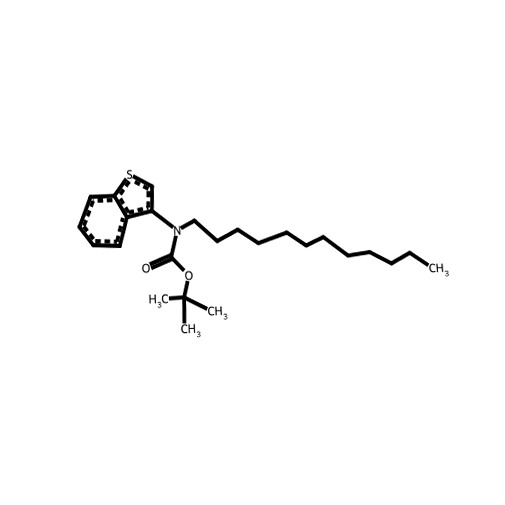 CCCCCCCCCCCCN(C(=O)OC(C)(C)C)c1csc2ccccc12